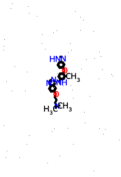 Cc1cc(Nc2ncnc3ccc(OCCCN(C)C)cc23)ccc1Oc1ccc2[nH]cnc2c1